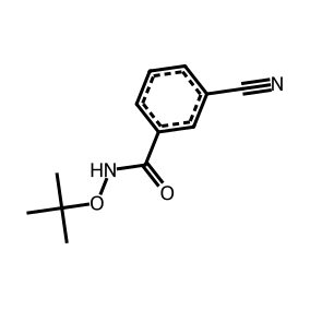 CC(C)(C)ONC(=O)c1cccc(C#N)c1